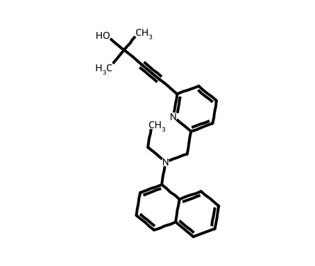 CCN(Cc1cccc(C#CC(C)(C)O)n1)c1cccc2ccccc12